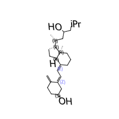 C=C1CC[C@H](O)C/C1=C/C=C1\CCC[C@]2(C)[C@@H]([C@H](C)CC(O)CC(C)C)CC[C@@H]12